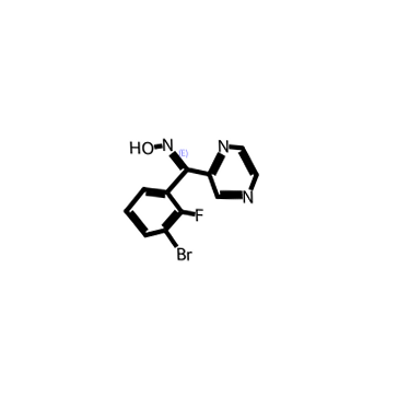 O/N=C(/c1cnccn1)c1cccc(Br)c1F